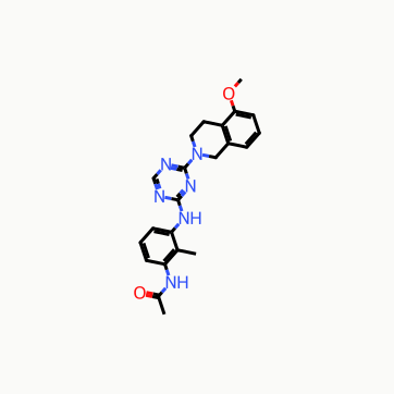 COc1cccc2c1CCN(c1ncnc(Nc3cccc(NC(C)=O)c3C)n1)C2